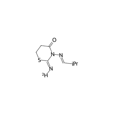 [2H]/N=C1\SCCC(=O)N1/N=C/C(C)C